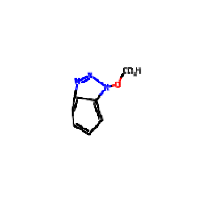 O=C(O)On1nnc2ccccc21